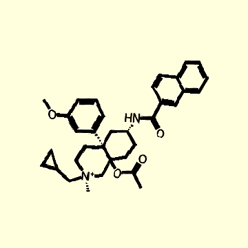 COc1cccc([C@@]23CC[N@+](C)(CC4CC4)CC2(OC(C)=O)CC[C@@H](NC(=O)c2ccc4ccccc4c2)C3)c1